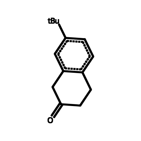 CC(C)(C)c1ccc2c(c1)CC(=O)CC2